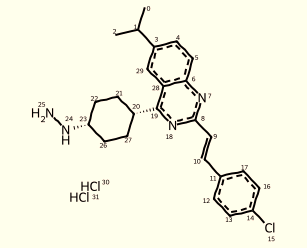 CC(C)c1ccc2nc(C=Cc3ccc(Cl)cc3)nc([C@H]3CC[C@@H](NN)CC3)c2c1.Cl.Cl